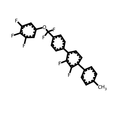 Cc1ccc(-c2ccc(-c3ccc(C(F)(F)Oc4cc(F)c(F)c(F)c4)cc3)c(F)c2F)cc1